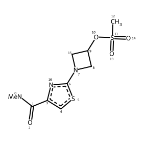 CNC(=O)c1csc(N2CC(OS(C)(=O)=O)C2)n1